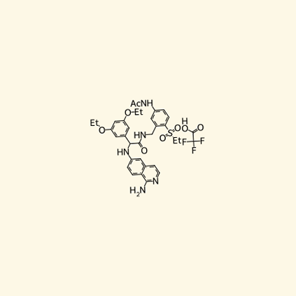 CCOc1cc(OCC)cc(C(Nc2ccc3c(N)nccc3c2)C(=O)NCc2cc(NC(C)=O)ccc2S(=O)(=O)CC)c1.O=C(O)C(F)(F)F